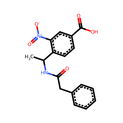 CC(NC(=O)Cc1ccccc1)c1ccc(C(=O)O)cc1[N+](=O)[O-]